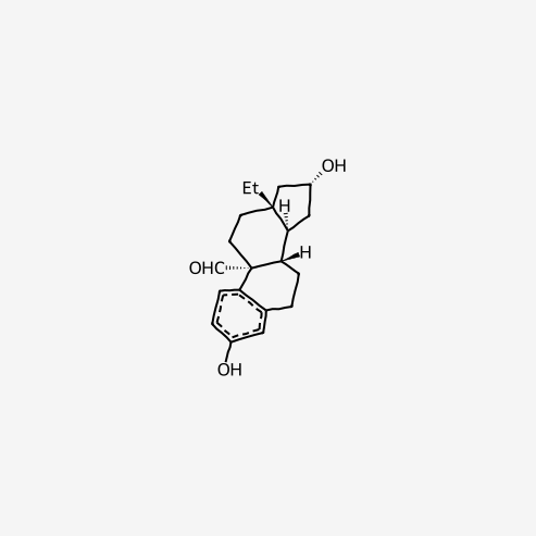 CC[C@]12CC[C@]3(C=O)c4ccc(O)cc4CC[C@H]3[C@@H]1C[C@@H](O)C2